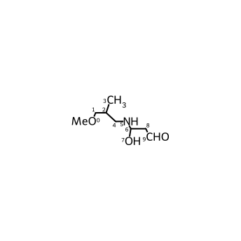 COCC(C)CNC(O)CC=O